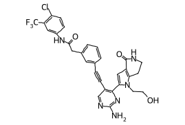 Nc1ncc(C#Cc2cccc(CC(=O)Nc3ccc(Cl)c(C(F)(F)F)c3)c2)c(-c2cc3c(n2CCO)CCNC3=O)n1